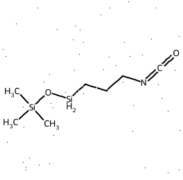 C[Si](C)(C)O[SiH2]CCCN=C=O